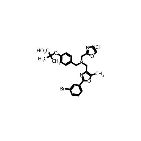 Cc1oc(-c2cccc(Br)c2)nc1CN(Cc1ccc(OC(C)(C)C(=O)O)cc1)Cc1ncco1.Cl